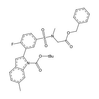 Cc1ccc2cc(-c3cc(S(=O)(=O)N(C)CC(=O)OCc4ccccc4)ccc3F)n(C(=O)OC(C)(C)C)c2c1